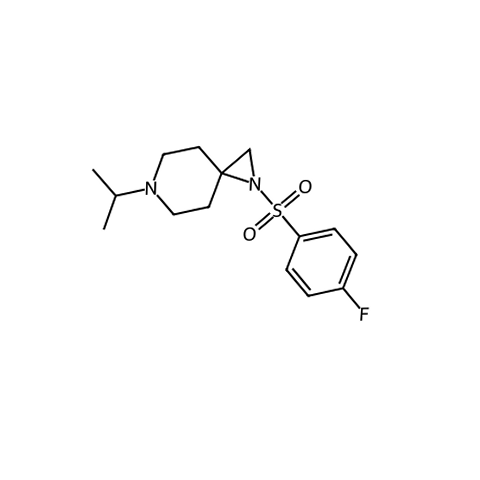 CC(C)N1CCC2(CC1)CN2S(=O)(=O)c1ccc(F)cc1